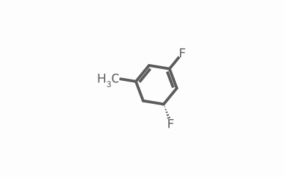 CC1=CC(F)=C[C@H](F)C1